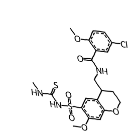 CNC(=S)NS(=O)(=O)c1cc2c(cc1OC)OCCC2CNC(=O)c1cc(Cl)ccc1OC